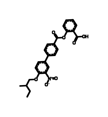 CCC(C)COc1ccc(-c2ccc(C(=O)Oc3ccccc3C(=O)O)cc2)cc1[N+](=O)[O-]